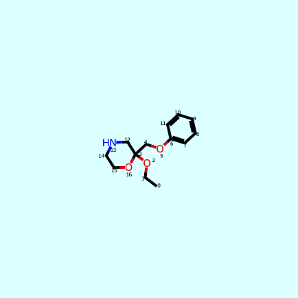 CCOC1(COc2ccccc2)CNCCO1